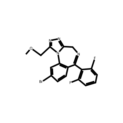 COCc1nnc2n1-c1cc(Br)ccc1C(c1c(F)cccc1F)=NC2